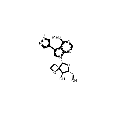 COc1ncnc2c1c(-c1cn[nH]c1)cn2[C@@H]1O[C@H](CO)[C@@H](O)[C@]12CCO2